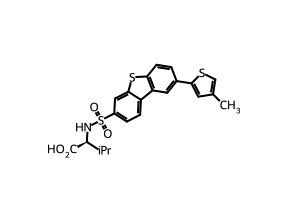 Cc1csc(-c2ccc3sc4cc(S(=O)(=O)N[C@H](C(=O)O)C(C)C)ccc4c3c2)c1